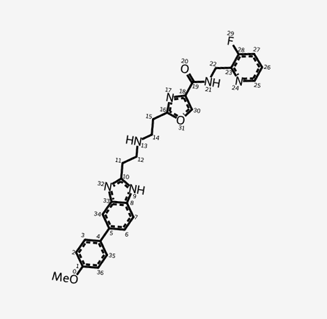 COc1ccc(-c2ccc3[nH]c(CCNCCc4nc(C(=O)NCc5ncccc5F)co4)nc3c2)cc1